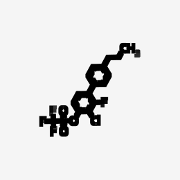 CCCc1ccc(-c2ccc(OS(=O)(=O)C(F)(F)F)c(Cl)c2F)cc1